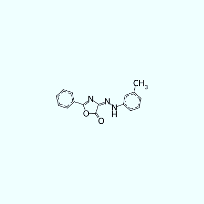 Cc1cccc(N/N=C2/N=C(c3ccccc3)OC2=O)c1